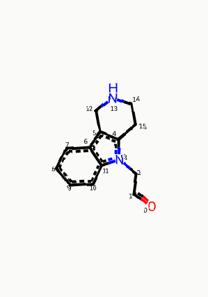 O=CCn1c2c(c3ccccc31)CNCC2